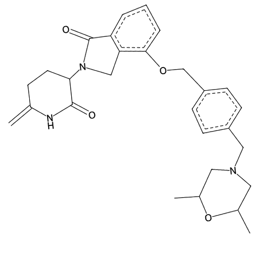 C=C1CCC(N2Cc3c(OCc4ccc(CN5CC(C)OC(C)C5)cc4)cccc3C2=O)C(=O)N1